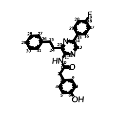 O=C(Cc1ccc(O)cc1)Nc1ncc(-c2ccc(F)cc2)nc1CCc1ccccc1